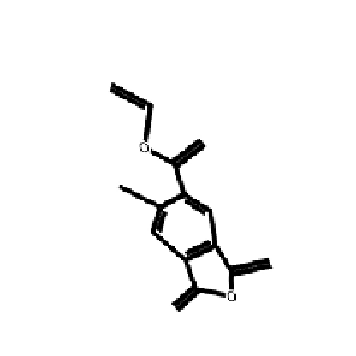 C=COC(=C)c1cc2c(=C)oc(=C)c2cc1C